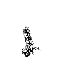 C=C(C)C(=O)OC1C2CC3C1OC(=O)C3(C(=O)OCC(F)(F)C(F)(F)C(F)(F)C(F)(F)C(F)(F)C(F)(F)F)C2